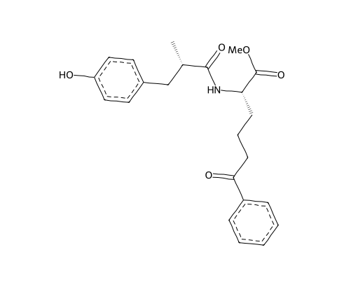 COC(=O)[C@H](CCCC(=O)c1ccccc1)NC(=O)[C@@H](C)Cc1ccc(O)cc1